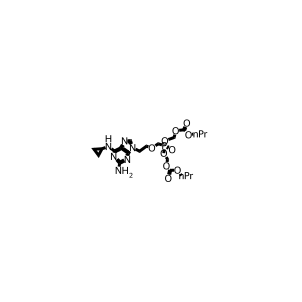 CCCOC(=O)OCOP(=O)(COCCn1cnc2c(NC3CC3)nc(N)nc21)OCOC(=O)OCCC